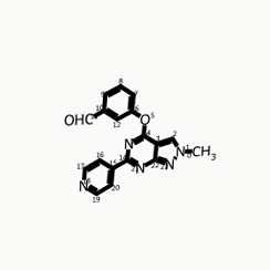 Cn1cc2c(Oc3cccc(C=O)c3)nc(-c3ccncc3)nc2n1